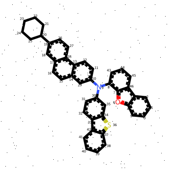 c1ccc2c(c1)oc1c(N(c3ccc4c(ccc5cc(C6CCCCC6)ccc54)c3)c3ccc4c(c3)sc3ccccc34)cccc12